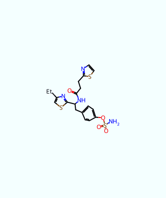 CCc1csc(C(Cc2ccc(OS(N)(=O)=O)cc2)NC(=O)CCc2nccs2)n1